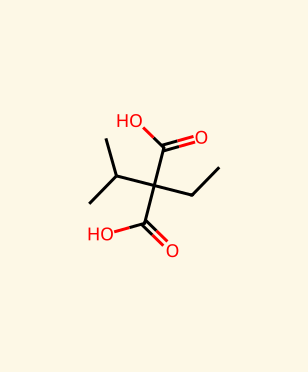 CCC(C(=O)O)(C(=O)O)C(C)C